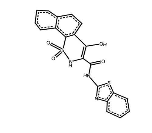 O=C(Nc1nc2ccccc2s1)C1=C(O)c2ccc3ccccc3c2S(=O)(=O)N1